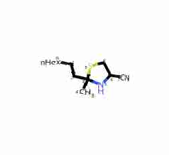 CCCCCCCCC1(C)NC(C#N)CS1